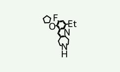 CCc1cc(F)c(OC2CCCC2)c2cc3c(nc12)CCNCC3